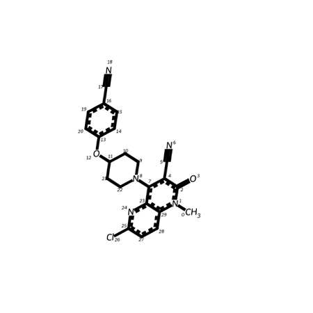 Cn1c(=O)c(C#N)c(N2CCC(Oc3ccc(C#N)cc3)CC2)c2nc(Cl)ccc21